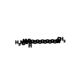 Cc1cn(CCOCCOCCOCCOCCOCCOCCOCCOCCOCCOCCNC(=O)CCSSCC(N)C(=O)CN)nn1